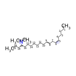 CCCCC/C=C\CC=CCCCCCCCC(CCC)N(C)C